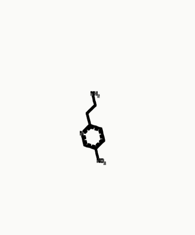 NCCc1ccc([N+](=O)[O-])cn1